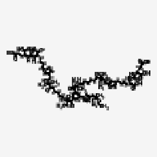 CCOC(C)(C)Cc1cn(-c2cc(C(=O)C(C)(C)NCCCCCC(=O)C(C)(C)NCc3cn(CCCC[C@H](NC(=O)N[C@@H](CCC(=O)O)C(=O)O)C(=O)O)nn3)cc(C(=O)C(C)(CC)NCCCCCC(=O)C(C)(C)NCc3cn(CCCC[C@H](NC(=O)N[C@@H](CCC(=O)O)C(=O)O)C(=O)O)nn3)c2)nn1